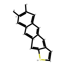 Cc1cc2cc3cc4ccsc4cc3cc2cc1C